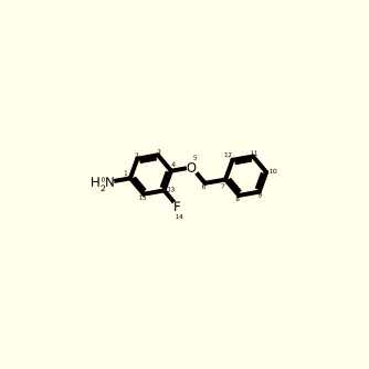 Nc1ccc(OCc2ccccc2)c(F)c1